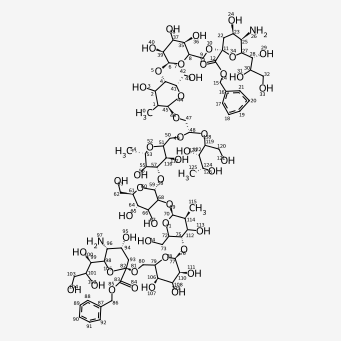 CC1C(O)[C@H](O[C@@H]2OC(CO[C@]3(C(=O)OCc4ccccc4)C[C@@H](O)[C@@H](N)C([C@H](O)C(O)CO)O3)[C@H](O)C(O)[C@@H]2O)[C@H](CO)O[C@H]1OC[C@@H](OCC1O[C@@H](C)C(O)[C@@H](O[C@H]2O[C@H](CO)[C@@H](O)C(O)C2O[C@@H]2OC(CO)[C@@H](O[C@@H]3OC(CO[C@]4(C(=O)OCc5ccccc5)C[C@@H](O)[C@@H](N)C([C@H](O)C(O)CO)O4)[C@H](O)C(O)[C@@H]3O)C(O)[C@@H]2C)[C@@H]1O)OC(CO)[C@@H](O)[C@@H](C)O